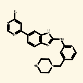 CCc1cc(-c2ccc3nc(Nc4cc(CN5CCNCC5)ccn4)[nH]c3c2)ncn1